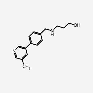 Cc1cncc(-c2ccc(CNCCCO)cc2)c1